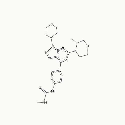 CNC(=O)Nc1ccc(-c2nc(N3CCOC[C@H]3C)nc3c2cnn3C2CCOCC2)cc1